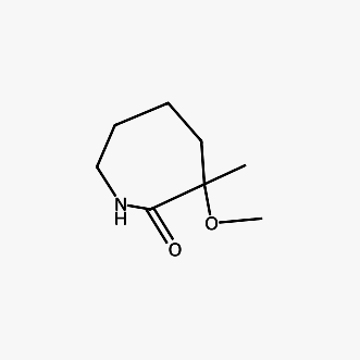 COC1(C)CCCCNC1=O